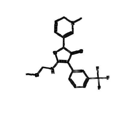 COCNC1=C(c2cccc(C(F)(F)F)c2)C(=O)C(C2=CN(C)CC=C2)O1